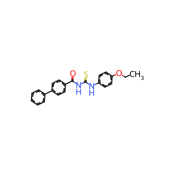 CCOc1ccc(NC(=S)NC(=O)c2ccc(-c3ccccc3)cc2)cc1